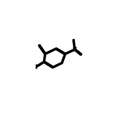 CC1CC(N(C)C)CCC1I